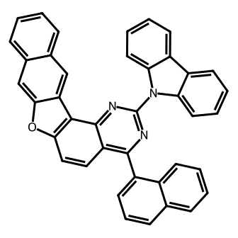 c1ccc2cc3c(cc2c1)oc1ccc2c(-c4cccc5ccccc45)nc(-n4c5ccccc5c5ccccc54)nc2c13